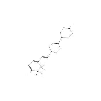 CCCC1=CC=C(/C=C/C2CCC(C3CCC(CCC)CC3)CC2)C(F)(F)C1(F)F